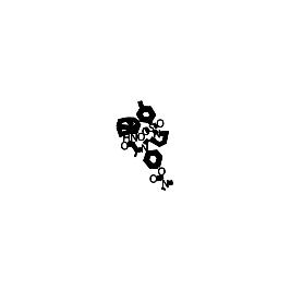 Cc1ccc(S(=O)(=O)N2CCC[C@H]2C(=O)N(c2ccc(OC(=O)N(C)C)cc2)[C@@H](C)C(=O)NC23CC4CC(CC(C4)C2)C3)cc1